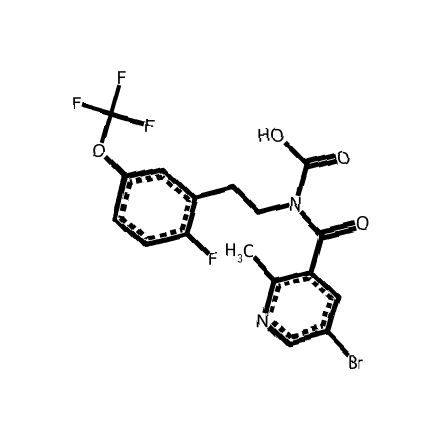 Cc1ncc(Br)cc1C(=O)N(CCc1cc(OC(F)(F)F)ccc1F)C(=O)O